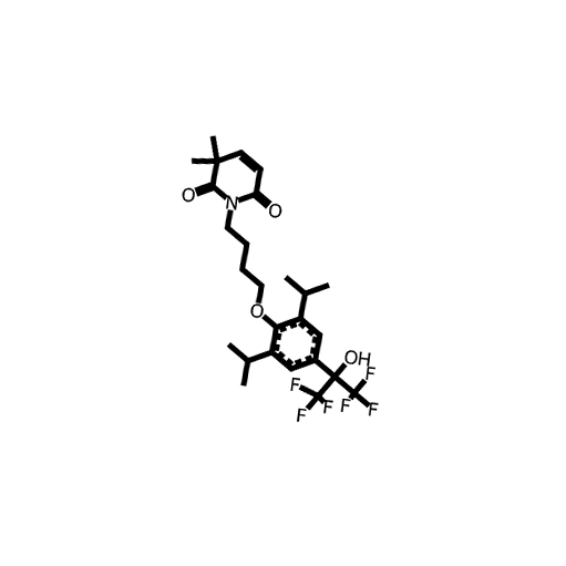 CC(C)c1cc(C(O)(C(F)(F)F)C(F)(F)F)cc(C(C)C)c1OCCCCN1C(=O)C=CC(C)(C)C1=O